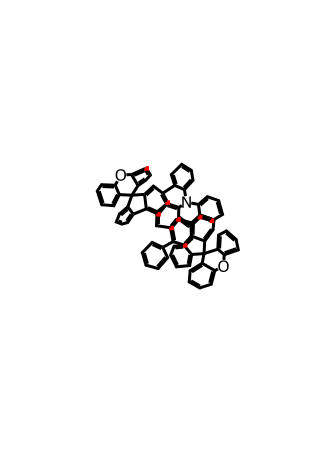 c1ccc(-c2ccc(-c3ccccc3N(c3ccccc3-c3ccc4c(c3)C3(c5ccccc5Oc5ccccc53)c3ccccc3-4)c3ccccc3-c3cccc4c3-c3ccccc3C43c4ccccc4Oc4ccccc43)cc2)cc1